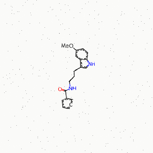 COc1ccc2[nH]cc(CCCNC(=O)c3ccccc3)c2c1